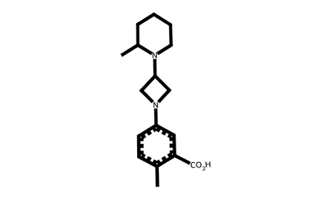 Cc1ccc(N2CC(N3CCCCC3C)C2)cc1C(=O)O